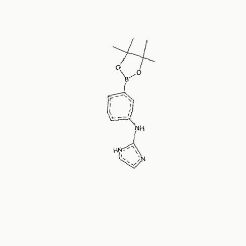 CC1(C)OB(c2cccc(Nc3ncc[nH]3)c2)OC1(C)C